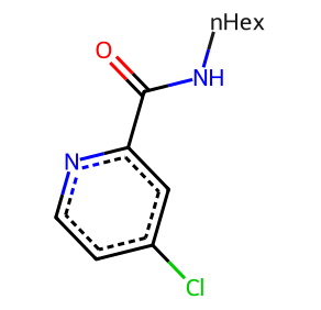 CCCCCCNC(=O)c1cc(Cl)ccn1